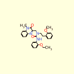 CCOc1ccccc1NC(=O)N(CCc1ccccc1OC)Cc1nc2ccccc2n(C)c1=O